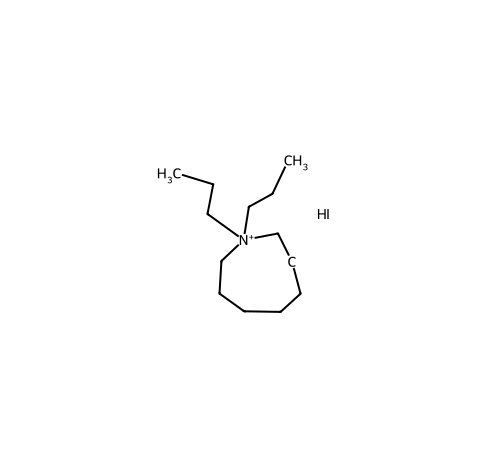 CCC[N+]1(CCC)CCCCCCC1.I